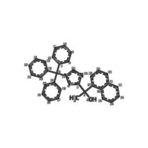 CC(O)(c1cn(C(c2ccccc2)(c2ccccc2)c2ccccc2)cn1)c1cccc2ccccc12